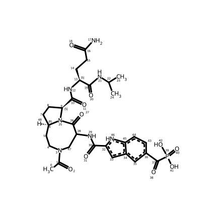 CC(=O)N1CC[C@H]2CC[C@@H](C(=O)N[C@@H](CCC(N)=O)C(=O)NC(C)C)N2C(=O)C(NC(=O)c2cc3cc(C(=O)P(=O)(O)O)ccc3[nH]2)C1